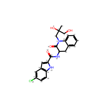 CC(O)(CO)CN1C(=O)C(NC(=O)c2cc3cc(Cl)ccc3[nH]2)Cc2ccccc21